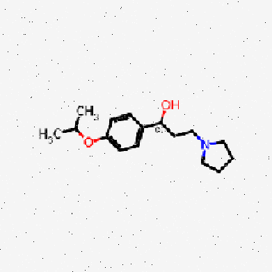 CC(C)Oc1ccc([C@@H](O)CCN2CCCC2)cc1